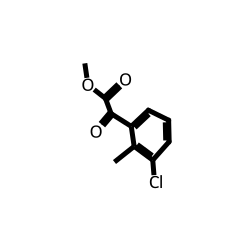 COC(=O)C(=O)c1cccc(Cl)c1C